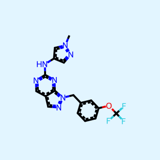 Cn1cc(Nc2ncc3cnn(Cc4cccc(OC(F)(F)F)c4)c3n2)cn1